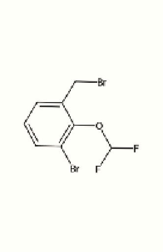 FC(F)Oc1c(Br)cccc1CBr